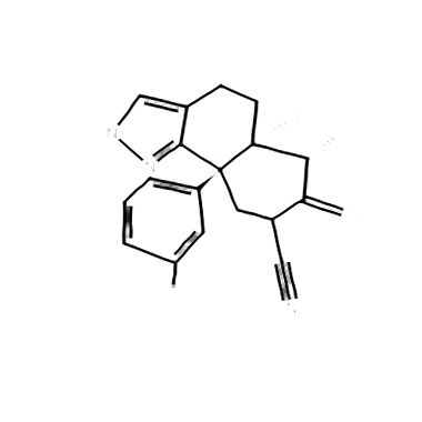 C[C@@H]1C(=O)C(C#N)C[C@]2(c3cccc(F)c3)c3n[nH]cc3CC[C@@H]12